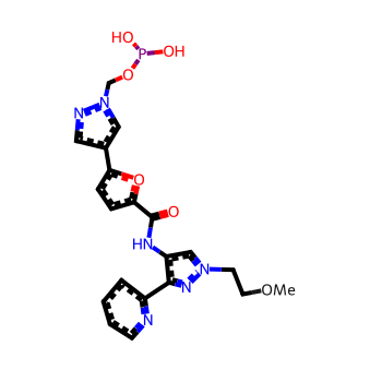 COCCn1cc(NC(=O)c2ccc(-c3cnn(COP(O)O)c3)o2)c(-c2ccccn2)n1